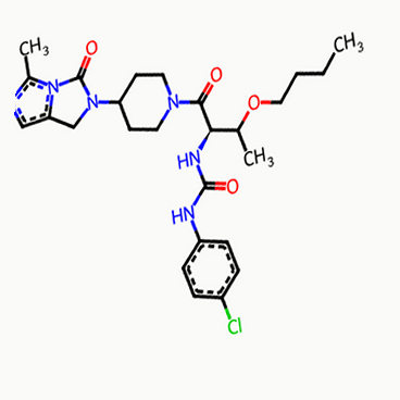 CCCCOC(C)[C@@H](NC(=O)Nc1ccc(Cl)cc1)C(=O)N1CCC(N2Cc3cnc(C)n3C2=O)CC1